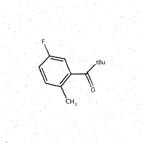 Cc1ccc(F)cc1C(=O)C(C)(C)C